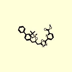 COC(=O)c1cccc(-c2nnc(CC(Cc3ccc(-c4ccccc4)cc3)O[Si](C)(C)C(C)(C)C)o2)n1